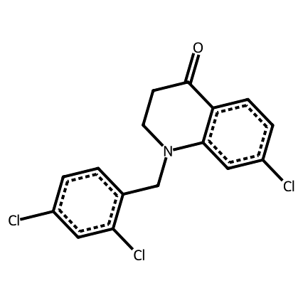 O=C1CCN(Cc2ccc(Cl)cc2Cl)c2cc(Cl)ccc21